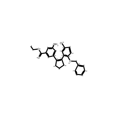 CCOC(=O)c1cc(N)cc(C2=C(c3cc(Cl)ccc3OCc3ccccc3)CCC2)c1